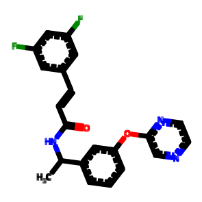 CC(NC(=O)C=Cc1cc(F)cc(F)c1)c1cccc(Oc2cnccn2)c1